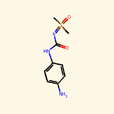 CS(C)(=O)=NC(=O)Nc1ccc(N)cc1